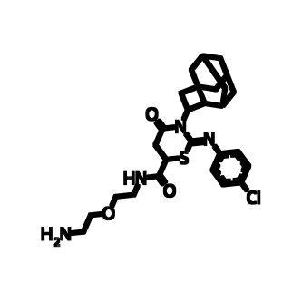 NCCOCCNC(=O)C1CC(=O)N(C2CC34CC5CC(CC(C5)C23)C4)/C(=N/c2ccc(Cl)cc2)S1